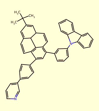 CC(C)(C)C1=CC2C=Cc3c(-c4cccc(-n5c6ccccc6c6ccccc65)c4)cc(-c4ccc(-c5cccnc5)cc4)c4c3C2C(=C1)C=C4